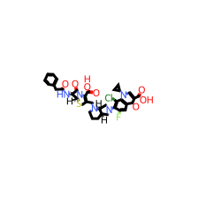 O=C(Cc1ccccc1)N[C@@H]1C(=O)N2C(C(=O)O)=C(CN3CCC[C@H]4CN(c5c(F)cc6c(=O)c(C(=O)O)cn(C7CC7)c6c5Cl)C[C@H]43)CS[C@H]12